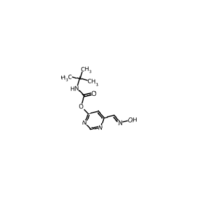 CC(C)(C)NC(=O)Oc1cc(/C=N/O)ncn1